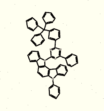 c1ccc(-c2nc(-c3cccc(C(c4ccccc4)(c4ccccc4)c4ccccc4)c3)nc(-n3c4ccccc4c4ccc5c(c6ccccc6n5-c5ccccc5)c43)n2)cc1